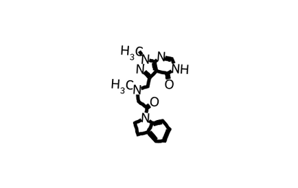 CN(CC(=O)N1CCc2ccccc21)Cc1nn(C)c2nc[nH]c(=O)c12